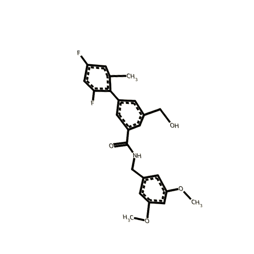 COc1cc(CNC(=O)c2cc(CO)cc(-c3c(C)cc(F)cc3F)c2)cc(OC)c1